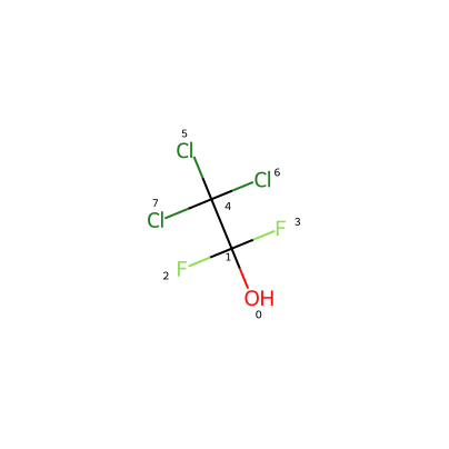 OC(F)(F)C(Cl)(Cl)Cl